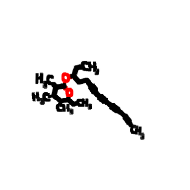 CC#CC#CC#CC#CCCC(CC)O[C@@H]1OC(CC)[C@@H](C)[C@H](C)C1C